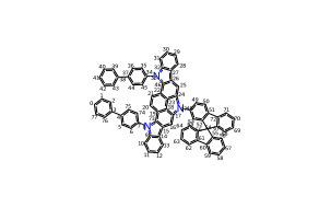 c1ccc(-c2ccc(-n3c4ccccc4c4cc5c6c(ccc7c6c(cc6c8ccccc8n(-c8ccc(-c9ccccc9)cc8)c67)n5-c5ccc6c(c5)C5(c7ccccc7-c7ccccc75)c5ccccc5-6)c43)cc2)cc1